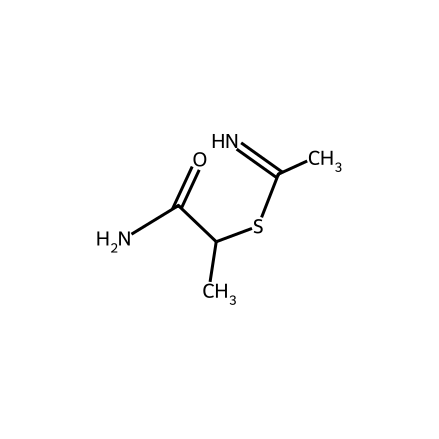 CC(=N)SC(C)C(N)=O